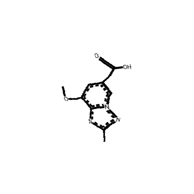 COc1cc(C(=O)O)cn2nc(C)nc12